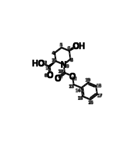 O=C(O)[C@H]1CC[C@@H](O)CN1C(=O)OCc1ccccc1